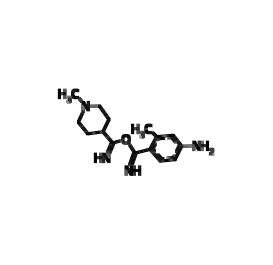 Cc1cc(N)ccc1C(=N)OC(=N)C1CCN(C)CC1